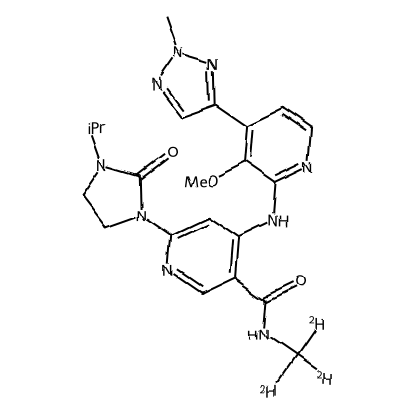 [2H]C([2H])([2H])NC(=O)c1cnc(N2CCN(C(C)C)C2=O)cc1Nc1nccc(-c2cnn(C)n2)c1OC